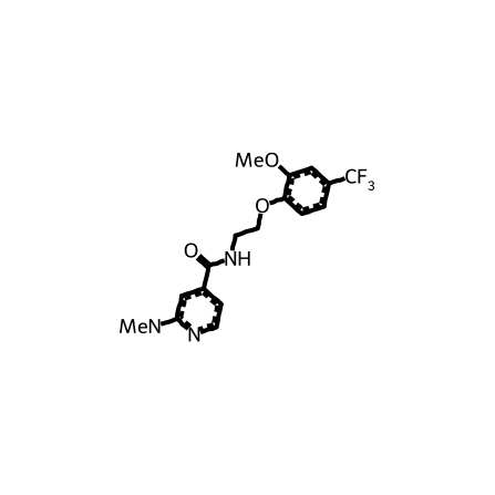 CNc1cc(C(=O)NCCOc2ccc(C(F)(F)F)cc2OC)ccn1